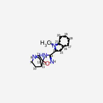 Cn1c(C2=NOC3(CN4CCC3CC4)N2)cc2ccccc21